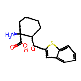 NC1(C(=O)O)CCCCC1C(=O)c1cc2ccccc2s1